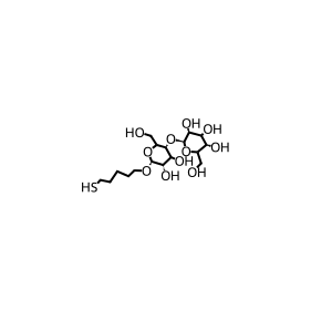 OCC1O[C@@H](O[C@H]2C(CO)O[C@@H](OCCCCCS)[C@@H](O)C2O)[C@@H](O)C(O)[C@H]1O